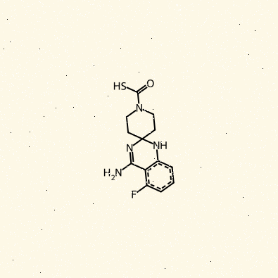 NC1=NC2(CCN(C(=O)S)CC2)Nc2cccc(F)c21